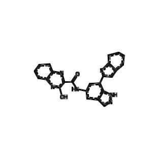 O=C(Nc1cc(-c2cc3ccccc3s2)c2[nH]ncc2c1)c1nc2ccccc2nc1O